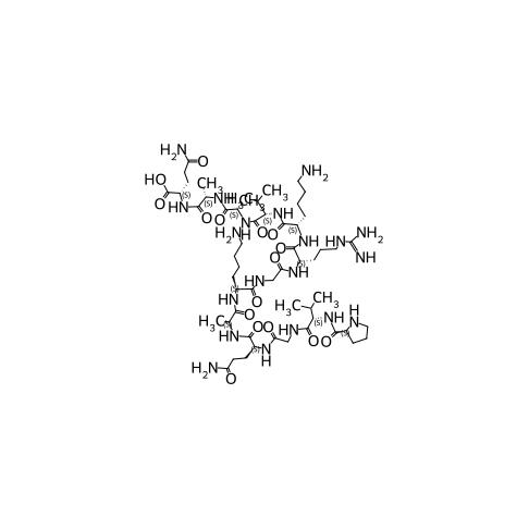 CC(C)[C@H](NC(=O)[C@@H]1CCCN1)C(=O)NCC(=O)N[C@@H](CCC(N)=O)C(=O)N[C@@H](C)C(=O)N[C@@H](CCCCN)C(=O)NCC(=O)N[C@@H](CCCNC(=N)N)C(=O)N[C@@H](CCCCN)C(=O)N[C@H](C(=O)N[C@@H](C)C(=O)N[C@@H](C)C(=O)N[C@@H](CCC(N)=O)C(=O)O)C(C)C